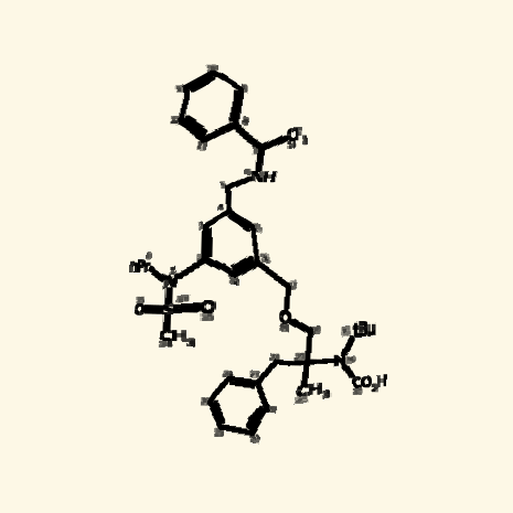 CCCN(c1cc(CNC(c2ccccc2)C(F)(F)F)cc(COCC(C)(Cc2ccccc2)N(C(=O)O)C(C)(C)C)c1)S(C)(=O)=O